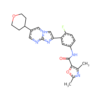 Cc1nc(C)c(C(=O)Nc2ccc(F)c(-c3cn4cc(C5CCOCC5)cnc4n3)c2)o1